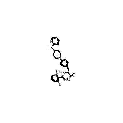 C=C(N[C@@H](Cc1ccc(N2CCC(Nc3ccccn3)CC2)cc1)C(=O)O)c1c(Cl)cccc1Cl